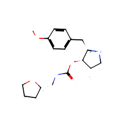 COc1ccc(C[C@H]2NC[C@H](O)[C@H]2OC(=O)NC[C@@H]2CCCO2)cc1